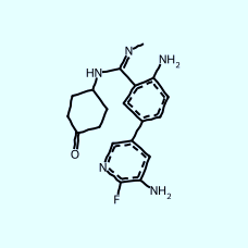 C/N=C(/NC1CCC(=O)CC1)c1cc(-c2cnc(F)c(N)c2)ccc1N